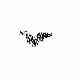 CCc1c(-c2cc(Nc3cc4n(n3)CCN(CCC#N)C4)c(=O)n(C)c2)ccnc1N1CCn2c(cc3c2CC(C)(C)C3)C1=O